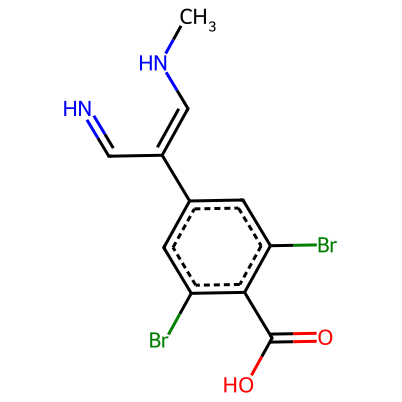 CN/C=C(\C=N)c1cc(Br)c(C(=O)O)c(Br)c1